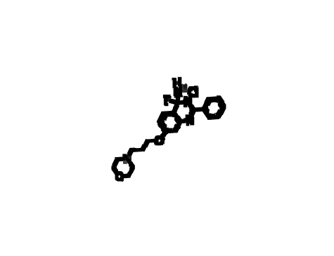 NC1(F)c2ccc(OCCCN3CCOCC3)cc2N=C(c2ccccc2)N1Cl